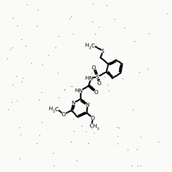 COc1cc(OC)nc(NC(=O)NS(=O)(=O)c2ccccc2CSC)n1